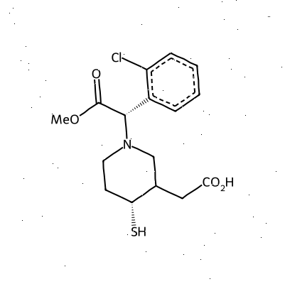 COC(=O)[C@H](c1ccccc1Cl)N1CC[C@@H](S)C(CC(=O)O)C1